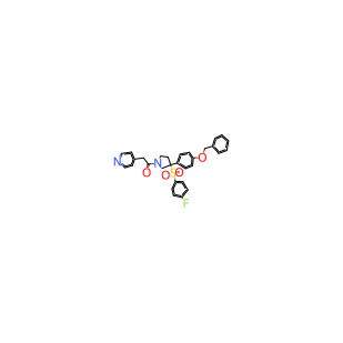 O=C(Cc1ccncc1)N1CCC(c2ccc(OCc3ccccc3)cc2)(S(=O)(=O)c2ccc(F)cc2)C1